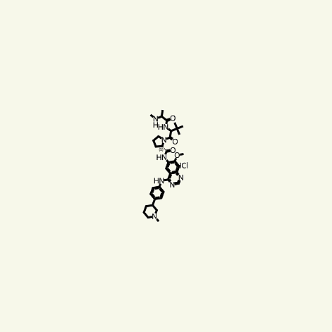 CNC(C)C(=O)NC(C(=O)N1CCC[C@H]1C(=O)Nc1cc2c(Nc3ccc(C4CCCN(C)C4)cc3)ncnc2cc1OC)C(C)(C)C.Cl